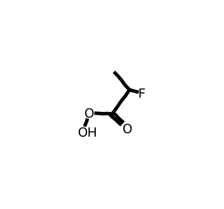 CC(F)C(=O)OO